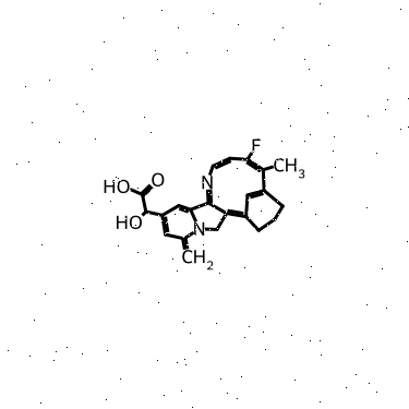 C=C1C=C(C(O)C(=O)O)C=C2c3nccc(F)c(C)c4cc(c3CN12)CCC4